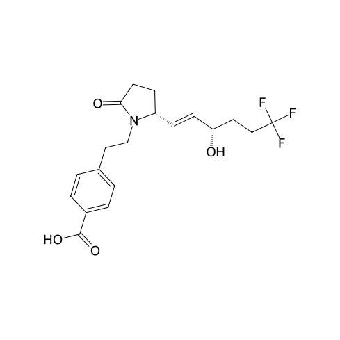 O=C(O)c1ccc(CCN2C(=O)CC[C@@H]2/C=C/[C@@H](O)CCC(F)(F)F)cc1